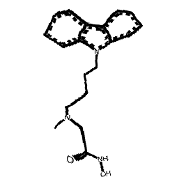 CN(CCCCn1c2ccccc2c2ccccc21)CC(=O)NO